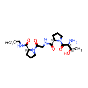 C[C@@H](O)[C@H](N)C(=O)N1CCC[C@H]1C(=O)NCC(=O)N1CCC[C@H]1C(=O)NCC(=O)O